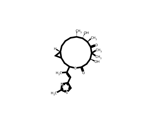 C/C(=C\c1csc(C)n1)C1CC2C[C@@H]2CCC[C@H](C)[C@H](O)[C@@H](C)C(=O)C(C)(C)[C@@H](O)CC(=O)O1